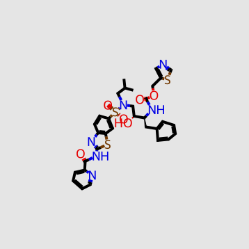 CC(C)CN(C[C@@H](O)[C@H](Cc1ccccc1)NC(=O)OCc1cncs1)S(=O)(=O)c1ccc2nc(NC(=O)c3ccccn3)sc2c1